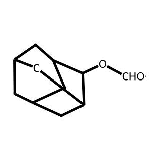 O=[C]OC1C2CC3CC(C2)CC1C3